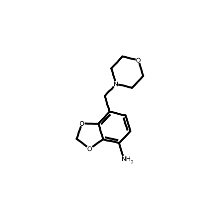 Nc1ccc(CN2CCOCC2)c2c1OCO2